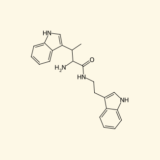 CC(c1c[nH]c2ccccc12)C(N)C(=O)NCCc1c[nH]c2ccccc12